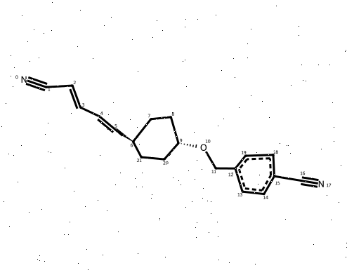 N#CC=CC=C[C@H]1CC[C@H](OCc2ccc(C#N)cc2)CC1